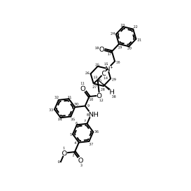 COC(=O)c1ccc(NC(C(=O)O[C@H]2C[N+]3(CC(=O)c4ccccc4)CCC2CC3)c2ccccc2)cc1